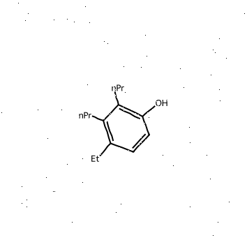 CCCc1c(O)ccc(CC)c1CCC